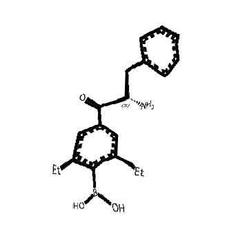 CCc1cc(C(=O)[C@@H](N)Cc2ccccc2)cc(CC)c1B(O)O